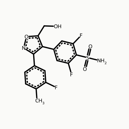 Cc1ccc(-c2noc(CO)c2-c2cc(F)c(S(N)(=O)=O)c(F)c2)cc1F